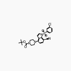 CC(C)(C)OC(=O)N1CCN(c2ccc(C#N)c3c2ccn3S(=O)(=O)c2cccc(Cl)c2)CC1